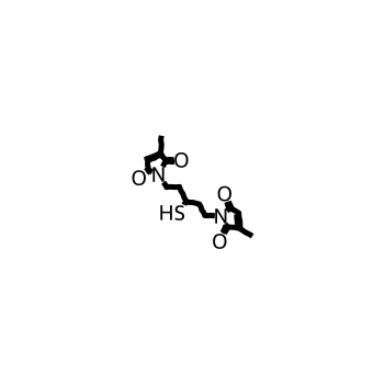 CC1=CC(=O)N(CCC(S)CCN2C(=O)C=C(C)C2=O)C1=O